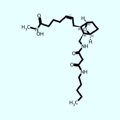 CCCCCNC(=O)CC(=O)NC[C@H]1[C@@H](C/C=C\CCCC(=O)N(C)O)[C@H]2CC[C@@H]1O2